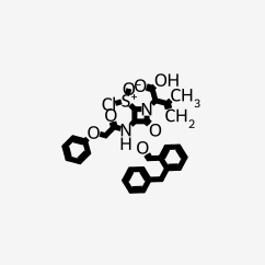 C=C(C)C(C(=O)O)N1C(=O)C(NC(=O)COc2ccccc2)C1[S+]([O-])Cl.O=Cc1ccccc1Cc1ccccc1